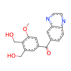 COc1cc(C(=O)c2ccc3nccnc3c2)cc(CO)c1CO